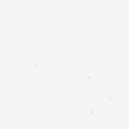 COC(=O)c1ccc(Oc2nc(-c3ccc(N4CCOCC4)cc3)cc3nccnc23)cc1